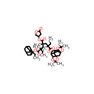 CCC(C)(CC(C)(CC(C)(CC)C(=O)OC1(CC)C2CC3CC(C2)CC1C3)C(=O)OC1COC(=O)C1)C(=O)OC12CC3C4OC(C)(C)OC4(C1)CC1(C2)OC(C)(C)OC31